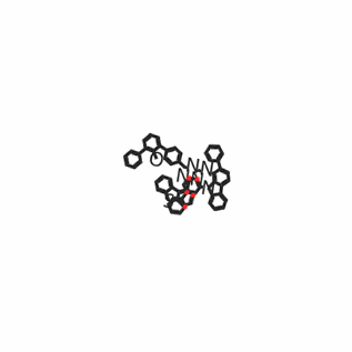 c1ccc(-c2cccc(-n3c4ccccc4c4ccc5c6ccccc6n(-c6nc(-c7ccc8c(c7)oc7c(-c9ccccc9)cccc78)nc(-c7cccc8sc9ccccc9c78)n6)c5c43)c2)cc1